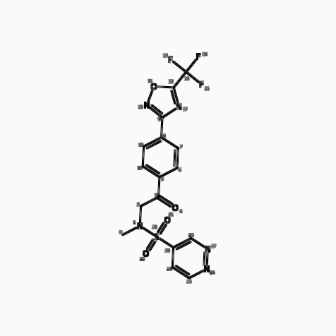 CN(CC(=O)c1ccc(-c2noc(C(F)(F)F)n2)cc1)S(=O)(=O)c1ccnnc1